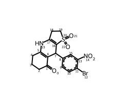 O=C1CCCC2=C1C(c1ccc(Br)c([N+](=O)[O-])c1)C1=C(CCS1(=O)=O)N2